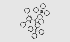 c1ccc(-c2cc(-c3ccccc3)nc(-n3c4cc([Si](c5ccccc5)(c5ccccc5)c5ccccc5)cc5c4c4c(cc([Si](c6ccccc6)(c6ccccc6)c6ccccc6)cc43)CC5)n2)cc1